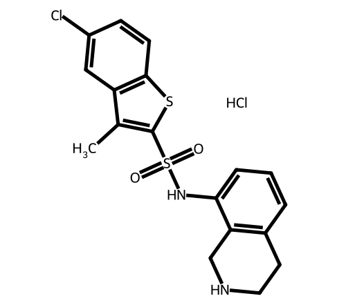 Cc1c(S(=O)(=O)Nc2cccc3c2CNCC3)sc2ccc(Cl)cc12.Cl